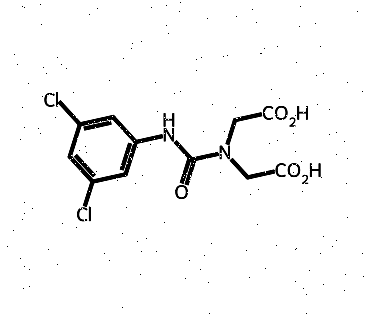 O=C(O)CN(CC(=O)O)C(=O)Nc1cc(Cl)cc(Cl)c1